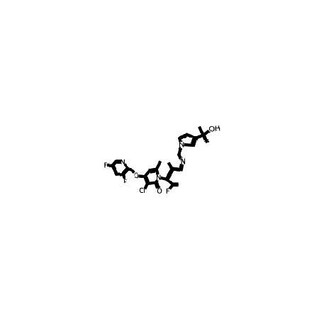 C=C(F)/C(=C(C)\C=N/Cn1ccc(C(C)(C)O)c1)n1c(C)cc(OCc2ncc(F)cc2F)c(Cl)c1=O